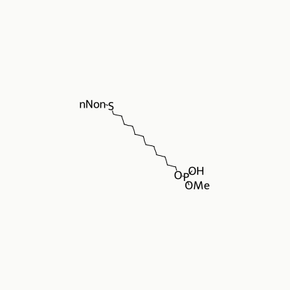 CCCCCCCCCSCCCCCCCCCCCCOP(O)OC